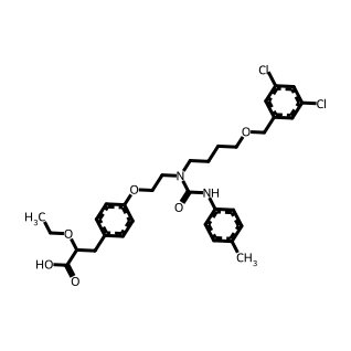 CCOC(Cc1ccc(OCCN(CCCCOCc2cc(Cl)cc(Cl)c2)C(=O)Nc2ccc(C)cc2)cc1)C(=O)O